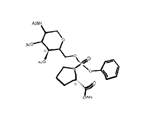 COC(=O)[C@@H]1CCCN1P(=O)(OCC1OCC(NC(C)=O)C(OC(C)=O)[C@@H]1OC(C)=O)Oc1ccccc1